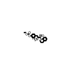 CCOC(=O)Oc1ccc(C[C@H](N)C(=O)N2CCCc3cccc(O)c32)c(Cl)c1